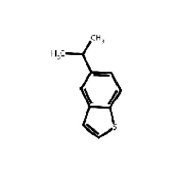 CC(C)c1ccc2sccc2c1